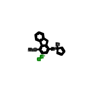 CC[C]1([Zr+2][c]2ccc(OC)c3c2Cc2ccccc2-3)C=CC=C1.[Cl-].[Cl-]